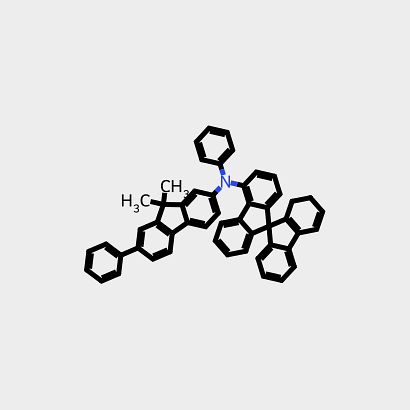 CC1(C)c2cc(-c3ccccc3)ccc2-c2ccc(N(c3ccccc3)c3cccc4c3-c3ccccc3C43C4=C(C=CCC4)c4ccccc43)cc21